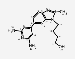 Cc1nc2ccc(-c3cc(N)nc(N)c3)nc2n1CCCCO